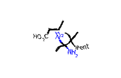 CC=CC(=O)O.CCCC(C)C(C)(C)C(C)(N)N